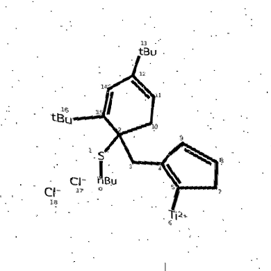 CCCCSC1(CC2=[C]([Ti+2])CC=C2)CC=C(C(C)(C)C)C=C1C(C)(C)C.[Cl-].[Cl-]